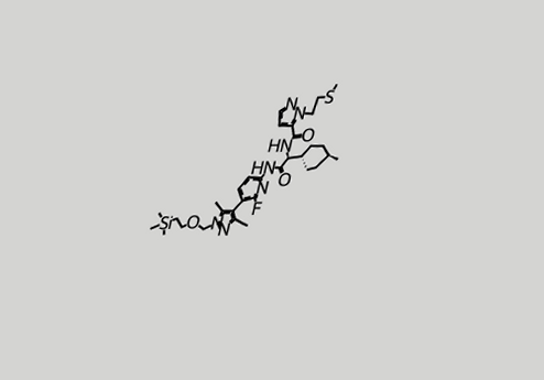 CSCCn1nccc1C(=O)N[C@H](C(=O)Nc1ccc(-c2c(C)nn(COCC[Si](C)(C)C)c2C)c(F)n1)[C@H]1CC[C@H](C)CC1